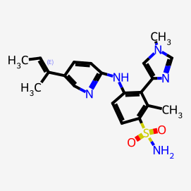 C/C=C(\C)c1ccc(Nc2ccc(S(N)(=O)=O)c(C)c2-c2cn(C)cn2)nc1